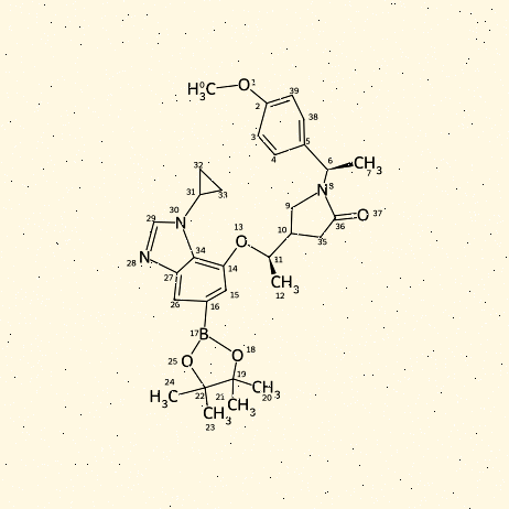 COc1ccc([C@@H](C)N2CC([C@@H](C)Oc3cc(B4OC(C)(C)C(C)(C)O4)cc4ncn(C5CC5)c34)CC2=O)cc1